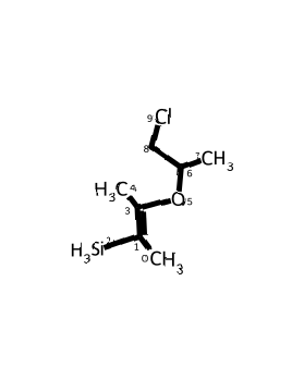 CC([SiH3])=C(C)OC(C)CCl